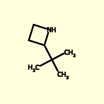 CC(C)(C)C1CCN1